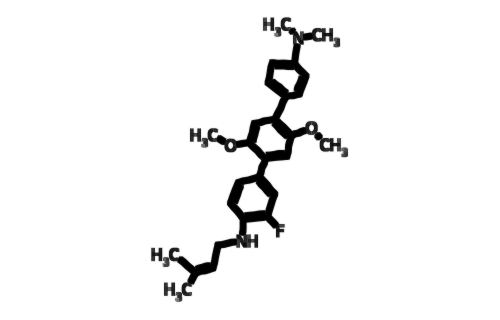 COc1cc(-c2ccc(NCC=C(C)C)c(F)c2)c(OC)cc1-c1ccc(N(C)C)cc1